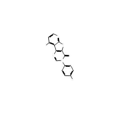 O=c1c2sc3nccc(O)c3c2ncn1-c1ccc(Cl)cc1